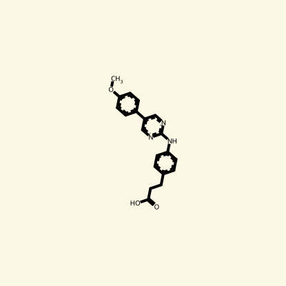 COc1ccc(-c2cnc(Nc3ccc(CCC(=O)O)cc3)nc2)cc1